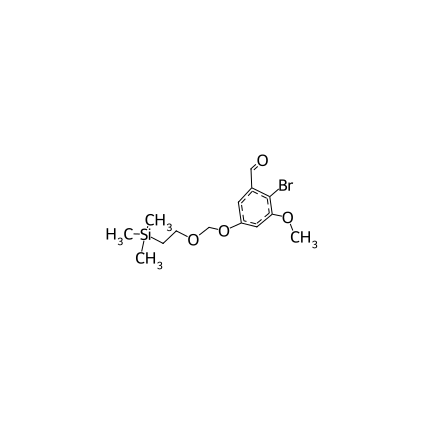 COc1cc(OCOCC[Si](C)(C)C)cc(C=O)c1Br